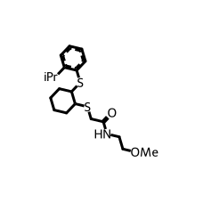 COCCNC(=O)CSC1CCCCC1Sc1ccccc1C(C)C